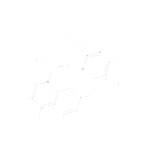 C[S+](C)c1ccc(O)c2ccc(O)cc12.Cc1ccc(S(=O)(=O)[O-])cc1